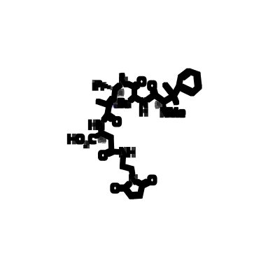 CN[C@H](C(=O)NC(C(=O)N(C)[C@H](/C=C(\C)C(=O)N[C@@H](CC(=O)NCCN1C(=O)C=CC1=O)C(=O)O)C(C)C)C(C)(C)C)C(C)(C)c1ccccc1